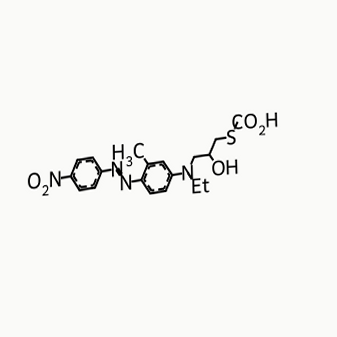 CCN(CC(O)CSC(=O)O)c1ccc(N=Nc2ccc([N+](=O)[O-])cc2)c(C)c1